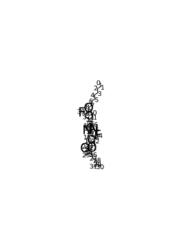 CCCCCCCCOc1ccc(-c2cnc(-c3ccc(OC(=O)C(C)CCCC(C)C)cc3F)nc2)cc1F